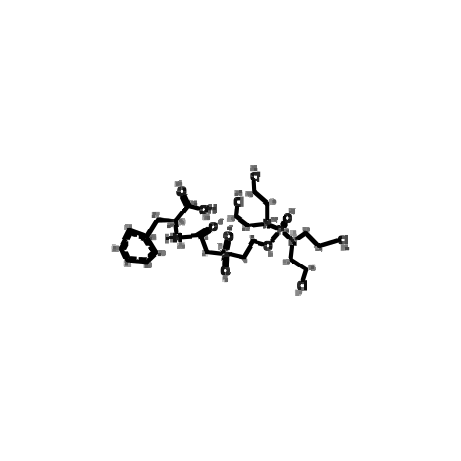 O=C(CS(=O)(=O)CCOP(=O)(N(CCCl)CCCl)N(CCCl)CCCl)N[C@@H](Cc1ccccc1)C(=O)O